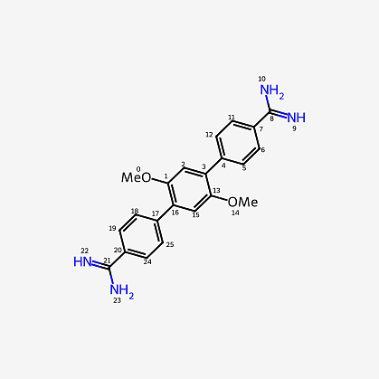 COc1cc(-c2ccc(C(=N)N)cc2)c(OC)cc1-c1ccc(C(=N)N)cc1